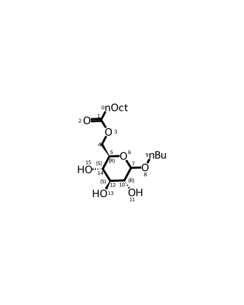 CCCCCCCCC(=O)OC[C@H]1OC(OCCCC)[C@H](O)[C@@H](O)[C@@H]1O